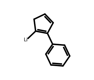 [Li][C]1=C(c2ccccc2)C=CC1